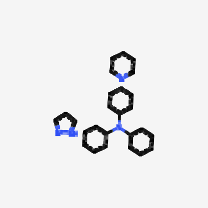 c1ccc(N(c2ccccc2)c2ccccc2)cc1.c1ccncc1.c1cn[nH]c1